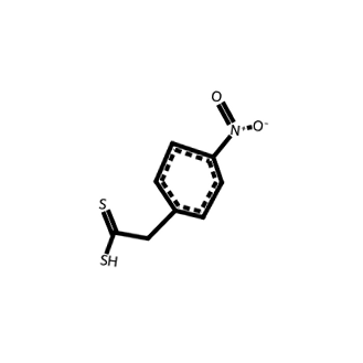 O=[N+]([O-])c1ccc(CC(=S)S)cc1